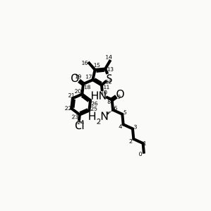 CCCCCC[C@H](N)C(=O)Nc1sc(C)c(C)c1C(=O)c1ccc(Cl)cc1